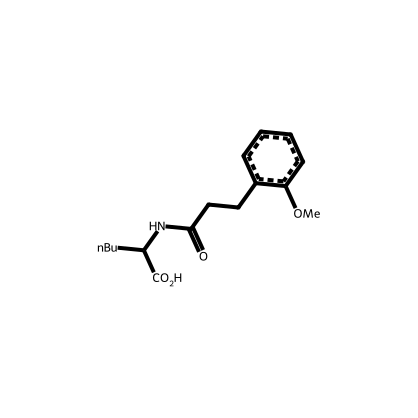 CCCCC(NC(=O)CCc1ccccc1OC)C(=O)O